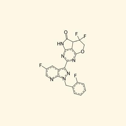 C[C@@]12C(=O)Nc3nc(-c4nn(Cc5ccccc5F)c5ncc(F)cc45)nc(c31)OCC2(F)F